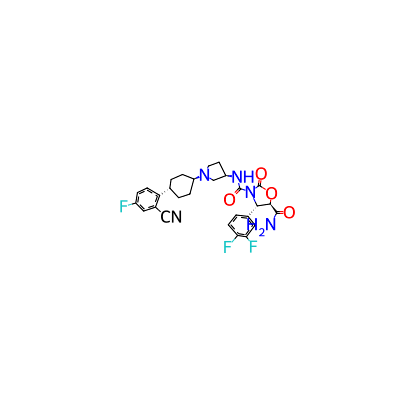 N#Cc1cc(F)ccc1[C@H]1CC[C@H](N2CC[C@@H](NC(=O)N3C(=O)O[C@@H](C(N)=O)[C@@H]3c3ccc(F)c(F)c3)C2)CC1